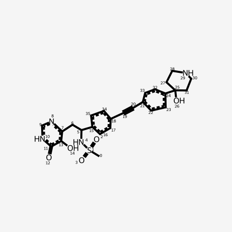 CS(=O)(=O)NC(Cc1nc[nH]c(=O)c1O)c1ccc(C#Cc2ccc(C3(O)CCNCC3)cc2)cc1